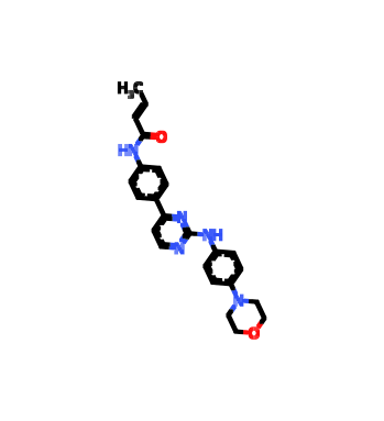 CC=CC(=O)Nc1ccc(-c2ccnc(Nc3ccc(N4CCOCC4)cc3)n2)cc1